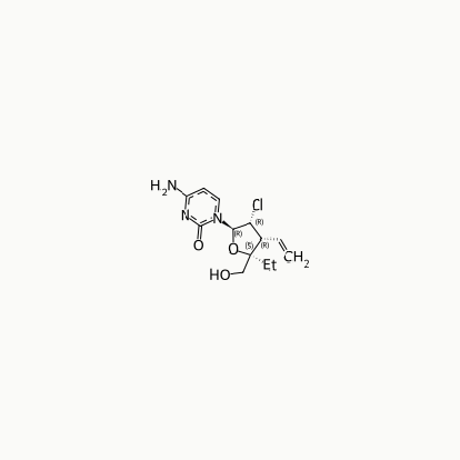 C=C[C@H]1[C@@H](Cl)[C@H](n2ccc(N)nc2=O)O[C@]1(CC)CO